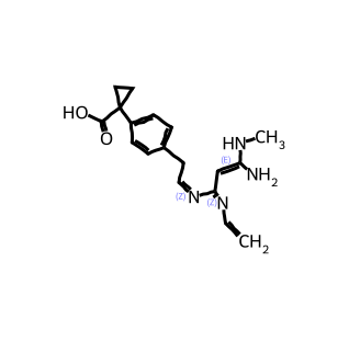 C=C/N=C(/C=C(\N)NC)\N=C/Cc1ccc(C2(C(=O)O)CC2)cc1